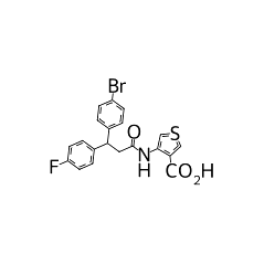 O=C(CC(c1ccc(F)cc1)c1ccc(Br)cc1)Nc1cscc1C(=O)O